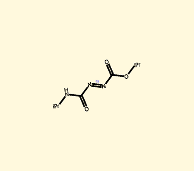 CC(C)NC(=O)/N=N/C(=O)OC(C)C